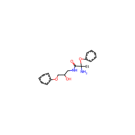 CCC(N)(Oc1ccccc1)C(=O)NCC(O)COc1ccccc1